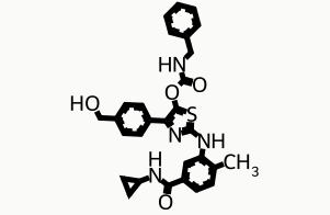 Cc1ccc(C(=O)NC2CC2)cc1Nc1nc(-c2ccc(CO)cc2)c(OC(=O)NCc2ccccc2)s1